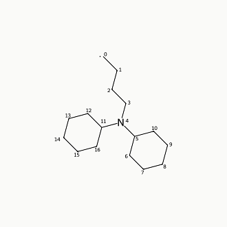 [CH2]CCCN(C1CCCCC1)C1CCCCC1